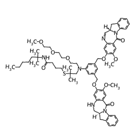 CCCCCC(C)(C)NC(=O)CCCSC(C)(C)CN(CCOCCOCCOC)c1cc(COc2cc3c(cc2OC)C(=O)N2c4ccccc4C[C@H]2C=N3)cc(COc2cc3c(cc2OC)C(=O)N2c4ccccc4C[C@H]2CN3)c1